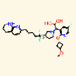 CO[C@H]1C[C@H](Oc2ncc(F)cc2C(C(O)O)N2CC[C@@H](C(F)(F)CCCCc3ccc4c(n3)NCCC4)C2)C1